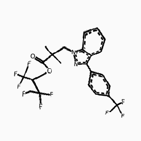 CC(C)(Cn1nc(-c2ccc(C(F)(F)F)cc2)c2ccccc21)C(=O)OC(C(F)(F)F)C(F)(F)F